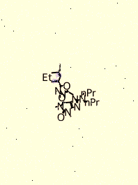 CC/C=C(\C=C(/C)I)c1nnc(Cn2c(N(CCC)CCC)nc3c2c(=O)n(C)c(=O)n3C)o1